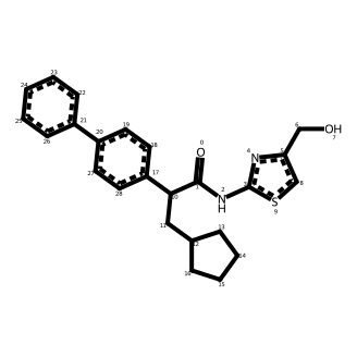 O=C(Nc1nc(CO)cs1)C(CC1CCCC1)c1ccc(-c2ccccc2)cc1